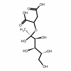 C[C@](O)(OC(CC(=O)O)C(=O)O)[C@@H](O)[C@H](O)[C@H](O)CO